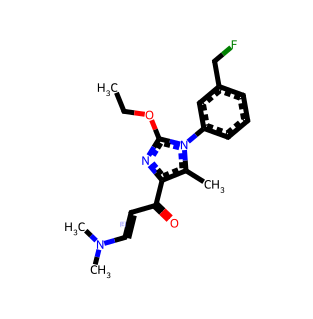 CCOc1nc(C(=O)/C=C/N(C)C)c(C)n1-c1cccc(CF)c1